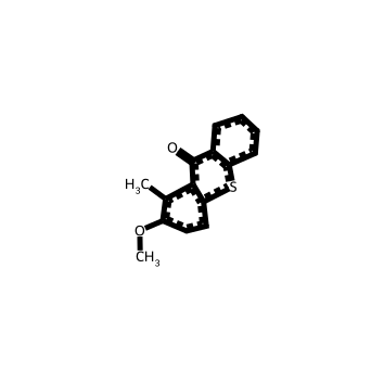 COc1ccc2sc3ccccc3c(=O)c2c1C